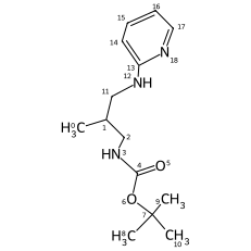 CC(CNC(=O)OC(C)(C)C)CNc1ccccn1